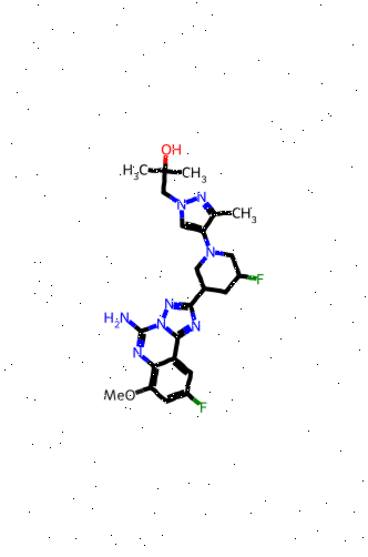 COc1cc(F)cc2c1nc(N)n1nc(C3CC(F)CN(c4cn(CC(C)(C)O)nc4C)C3)nc21